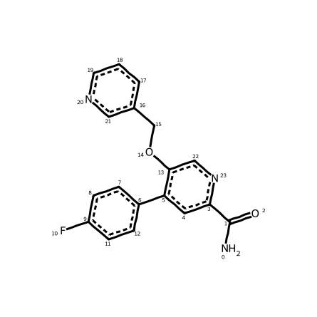 NC(=O)c1cc(-c2ccc(F)cc2)c(OCc2cccnc2)cn1